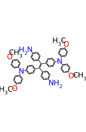 COc1ccc(N(c2ccc(OC)cc2)c2ccc(C(=C(c3ccc(N)cc3)c3ccc(N(c4ccc(OC)cc4)c4ccc(OC)cc4)cc3)c3ccc(N)cc3)cc2)cc1